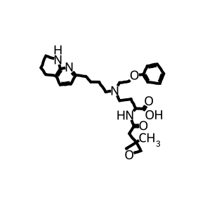 CC1(CC(=O)NC(CCN(CCCCc2ccc3c(n2)NCCC3)CCOc2ccccc2)C(=O)O)COC1